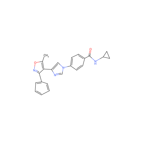 Cc1onc(-c2ccccc2)c1-c1cn(-c2ccc(C(=O)NC3CC3)cc2)cn1